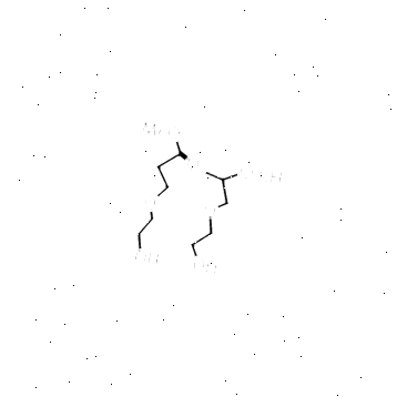 CC(COCCO)C(=O)O.COC(=O)CCOCCO